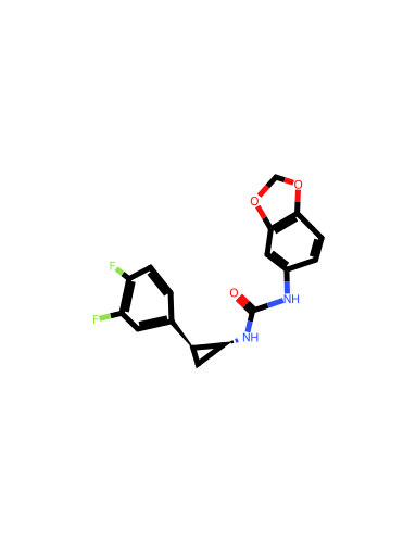 O=C(Nc1ccc2c(c1)OCO2)N[C@@H]1C[C@H]1c1ccc(F)c(F)c1